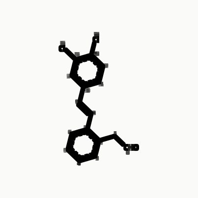 O=CCc1ccccc1C=Cc1ccc(Cl)c(Cl)c1